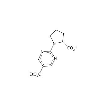 CCOC(=O)c1cnc(N2CCCC2C(=O)O)nc1